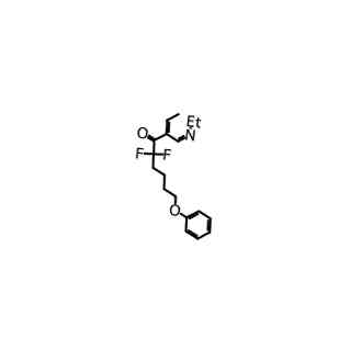 C/C=C(\C=N/CC)C(=O)C(F)(F)CCCCOc1ccccc1